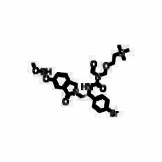 COBOc1ccc2c(c1)C(=O)N(C[C@H](NC(=O)N(C=O)COCC[Si](C)(C)C)c1ccc(Br)cc1)C2